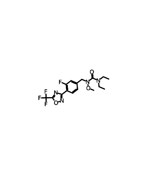 CCN(CC)C(=O)N(Cc1ccc(-c2noc(C(F)(F)F)n2)c(F)c1)OC